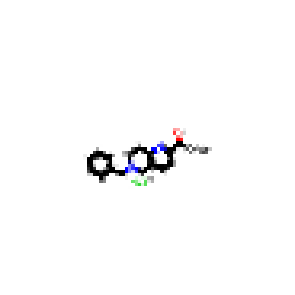 COC(=O)c1ccc2c(n1)CCN(Cc1ccccc1)C2.Cl